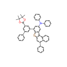 CC1(C)OB(c2cc(-c3ccccc3)cc(-c3cc(N(c4ccccc4)c4ccccc4)cc4c3sc3cc(-c5ccccc5)c5ccccc5c34)c2)OC1(C)C